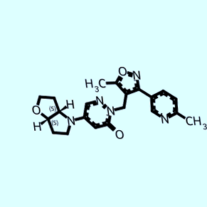 Cc1ccc(-c2noc(C)c2Cn2ncc(N3CC[C@@H]4OCC[C@@H]43)cc2=O)cn1